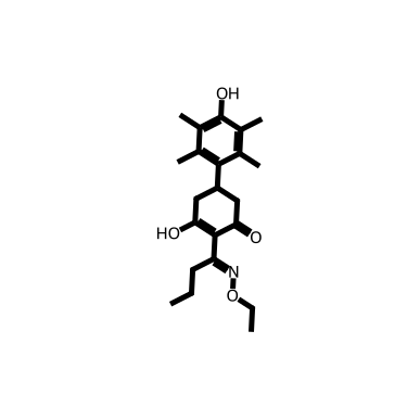 CCCC(=NOCC)C1=C(O)CC(c2c(C)c(C)c(O)c(C)c2C)CC1=O